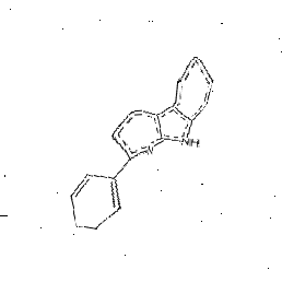 C1=CC(c2ccc3c(n2)[nH]c2ccccc23)=CCC1